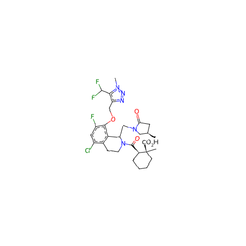 C[C@@H]1CC(=O)N(CC2c3c(c(Cl)cc(F)c3OCc3nnn(C)c3C(F)F)CCN2C(=O)[C@@H]2CCCC[C@]2(C)C(=O)O)C1